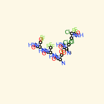 CS(=O)(=O)c1ccc(-c2cc(C#N)cc3cc4n(c23)CCNC4=O)cc1.N#Cc1cc(-c2cc(F)c(F)c(F)c2)c2c(c1)cc1n2CCNC1=O.N#Cc1cc(-c2ccc(Cl)c(Cl)c2)c2c(c1)cc1n2CCNC1=O.N#Cc1cc(-c2ccc(OC(F)(F)F)cc2)c2c(c1)cc1n2CCNC1=O.O=C1NCCn2c1c(C(F)(F)F)c1cc(Cl)cc(-c3ccc(Cl)cc3)c12